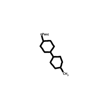 CCCCCC1CCC(C2CCC(C)CC2)CC1